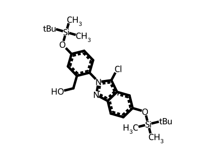 CC(C)(C)[Si](C)(C)Oc1ccc(-n2nc3ccc(O[Si](C)(C)C(C)(C)C)cc3c2Cl)c(CO)c1